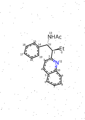 CC[C@@H](c1ccc2ccccc2n1)[C@@H](NC(C)=O)c1ccccc1